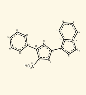 O=C(O)c1sc(-c2cnn3ccccc23)nc1-c1ccccc1